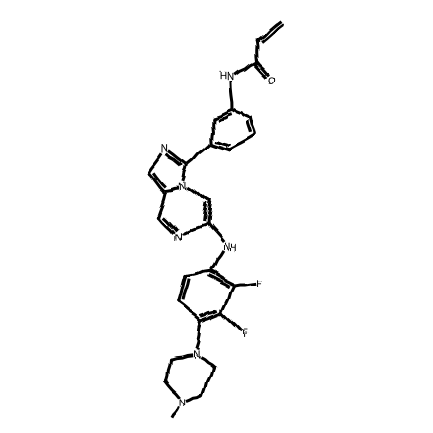 C=CC(=O)Nc1cccc(-c2ncc3cnc(Nc4ccc(N5CCN(C)CC5)c(F)c4F)cn23)c1